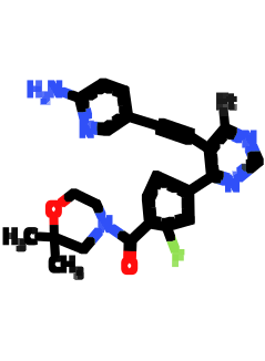 CCc1ncnc(-c2ccc(C(=O)N3CCOC(C)(C)C3)c(F)c2)c1C#Cc1ccc(N)nc1